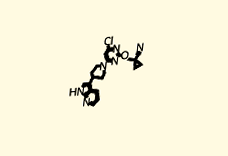 N#CC1(COc2nc(Cl)cc(N3CCC(c4c[nH]c5ncccc45)CC3)n2)CC1